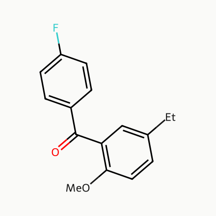 CCc1ccc(OC)c(C(=O)c2ccc(F)cc2)c1